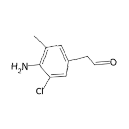 Cc1cc(CC=O)cc(Cl)c1N